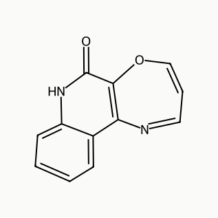 O=c1[nH]c2ccccc2c2c1OC=CC=N2